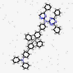 c1ccc(-c2ccnc(N(c3ccc(-c4ccc([Si](c5ccccc5)(c5ccccc5)c5ccc(-c6ccc(N(c7ccccc7)c7ccccc7)cc6)cc5)cc4)cc3)c3nc(-c4ccccc4)nc(-c4ccccc4)n3)n2)cc1